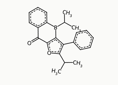 CC(C)B1c2ccccc2C(=O)c2oc(C(C)C)c(-c3ccccc3)c21